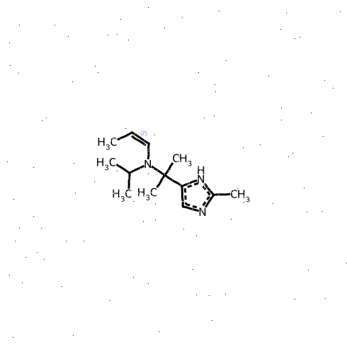 C/C=C\N(C(C)C)C(C)(C)c1cnc(C)[nH]1